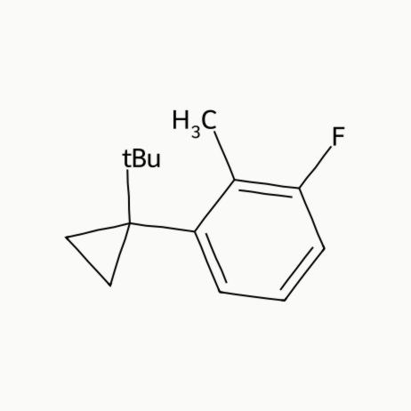 Cc1c(F)cccc1C1(C(C)(C)C)CC1